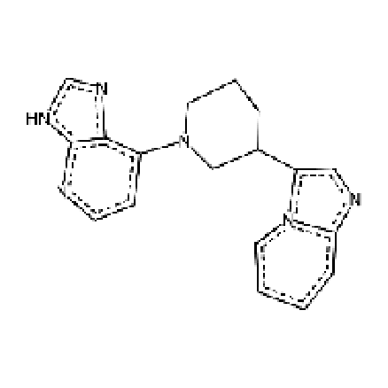 c1ccn2c(C3CCCN(c4ccnc5[nH]cnc45)C3)cnc2c1